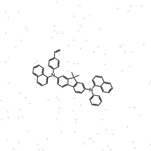 C=Cc1ccc(N(c2ccc3c(c2)C(C)(C)c2cc(N(c4ccccc4)c4cccc5ccccc45)ccc2-3)c2cccc3ccccc23)cc1